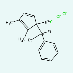 CC[Si](CC)(c1ccccc1)[C]1([Ti+3])C=CC(C)=C1C.[Cl-].[Cl-].[Cl-]